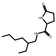 CCCCC(CC)CNC(=O)C1CCC(=O)N1